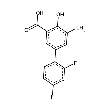 Cc1cc(-c2ccc(F)cc2F)cc(C(=O)O)c1O